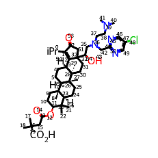 CC(C)C1=C2[C@H]3CC[C@@H]4[C@@]5(C)CC[C@H](OC(=O)CC(C)(C)C(=O)O)C(C)(C)[C@@H]5CC[C@@]4(C)[C@]3(C)CCC2(C(O)CN(CCN(C)C)[C@@H](C)c2ncc(Cl)cn2)CC1=O